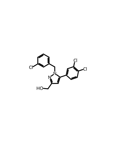 OCc1cc(-c2ccc(Cl)c(Cl)c2)n(Cc2cccc(Cl)c2)n1